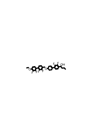 CCCC(O)c1ccc(C2=CCC(OCc3ccc(-c4ccc(OCC)c(F)c4F)c(F)c3F)CC2)c(F)c1F